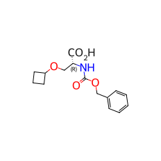 O=C(N[C@H](COC1CCC1)C(=O)O)OCc1ccccc1